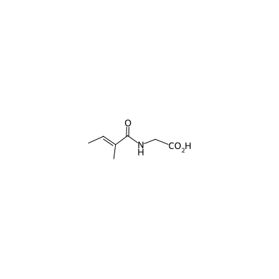 C/C=C(\C)C(=O)NCC(=O)O